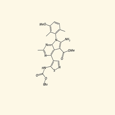 COC(=O)c1c(N)n(-c2c(C)ccc(OC)c2C)c2nc(C)nc(-c3cnsc3NC(=O)OC(C)(C)C)c12